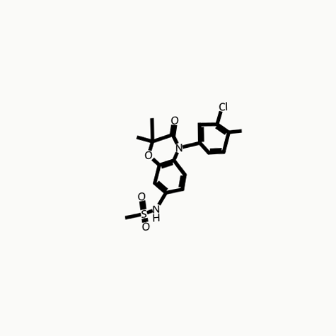 Cc1ccc(N2C(=O)C(C)(C)Oc3cc(NS(C)(=O)=O)ccc32)cc1Cl